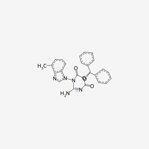 Cc1cccc2c1ncn2N(C(=O)OCc1ccccc1)/C(N)=N\C(=O)OCc1ccccc1